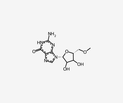 COC[C@H]1O[C@@H](n2cnc3c(=O)[nH]c(N)nc32)C(O)C1O